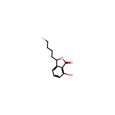 O=C1OC(CCCCF)c2cccc(O)c21